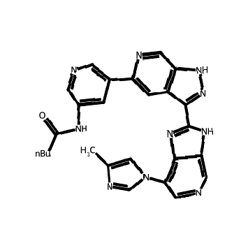 CCCCC(=O)Nc1cncc(-c2cc3c(-c4nc5c(-n6cnc(C)c6)cncc5[nH]4)n[nH]c3cn2)c1